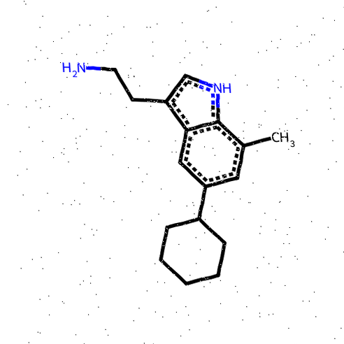 Cc1cc(C2CCCCC2)cc2c(CCN)c[nH]c12